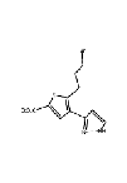 CCOC(=O)c1cc(-c2cc[nH]n2)c(CCCBr)s1